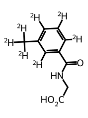 [2H]c1c([2H])c(C(=O)NCC(=O)O)c([2H])c(C([2H])([2H])[2H])c1[2H]